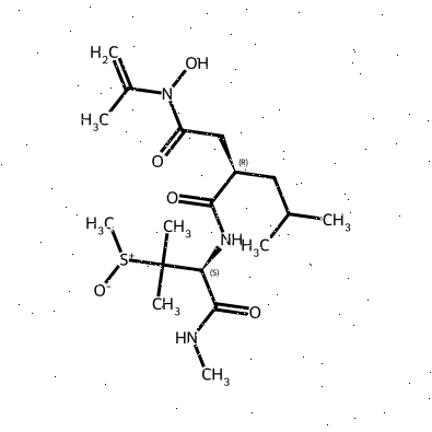 C=C(C)N(O)C(=O)C[C@@H](CC(C)C)C(=O)N[C@@H](C(=O)NC)C(C)(C)[S+](C)[O-]